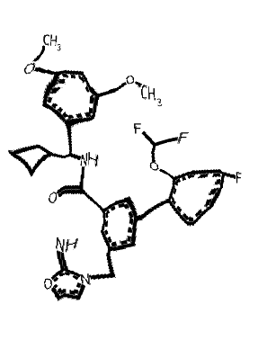 COc1cc(OC)cc(C(NC(=O)c2cc(Cn3ccoc3=N)cc(-c3ccc(F)cc3OC(F)F)c2)C2CC2)c1